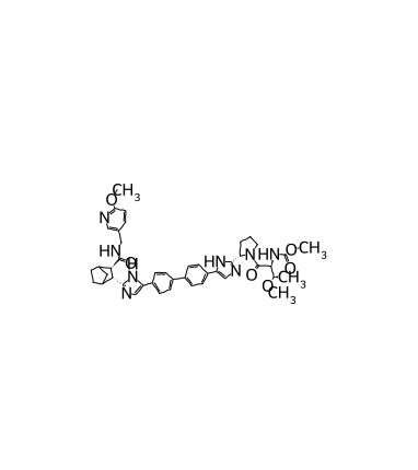 COC(=O)N[C@H](C(=O)N1CCC[C@H]1c1ncc(-c2ccc(-c3ccc(-c4cnc([C@@H]5C6CCC(C6)[C@H]5C(=O)NCc5ccc(OC)nc5)[nH]4)cc3)cc2)[nH]1)[C@@H](C)OC